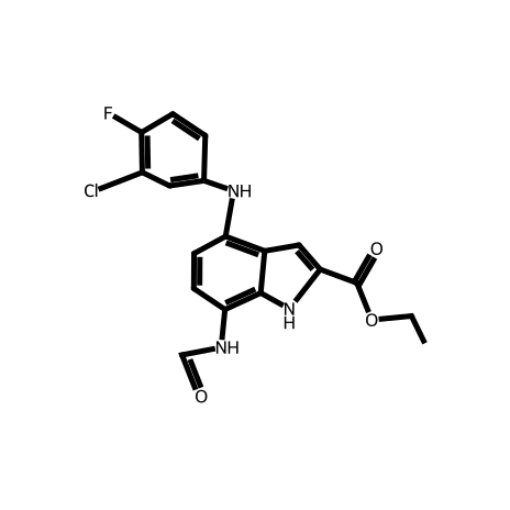 CCOC(=O)c1cc2c(Nc3ccc(F)c(Cl)c3)ccc(NC=O)c2[nH]1